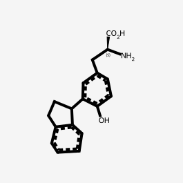 N[C@@H](Cc1ccc(O)c(C2CCc3ccccc32)c1)C(=O)O